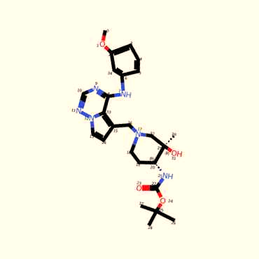 COc1cccc(Nc2ncnn3ccc(CN4CC[C@@H](NC(=O)OC(C)(C)C)[C@](C)(O)C4)c23)c1